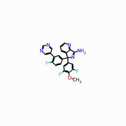 COc1c(F)cc(C2(c3ccc(F)c(-c4cncnc4)c3)N=C(N)c3ncccc32)cc1F